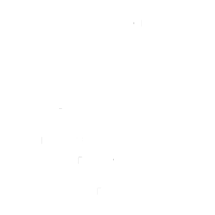 C#CC(O)(c1ccc2cc(OC(F)F)c(OC(F)F)cc2c1)C(C)C